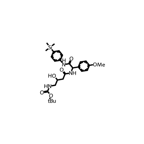 COc1ccc(C(NC(=O)CC(O)CNC(=O)OC(C)(C)C)C(=O)Nc2ccc([Si](C)(C)C)cc2)cc1